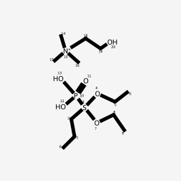 CCCS(OCC)(OCC)P(=O)(O)O.C[N+](C)(C)CCO